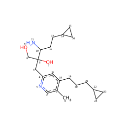 Cc1cnc(CC(O)(CO)C(N)CCC2CC2)cc1CCCC1CC1